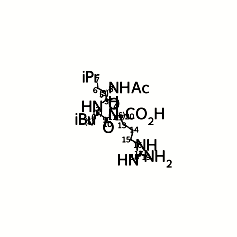 CC[C@H](C)[C@H](NC(=O)[C@H](CC(C)C)NC(C)=O)C(=O)N[C@@H](CCCNC(=N)N)C(=O)O